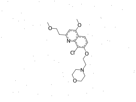 COCCc1cc(OC)c2ccc(OCCN3CCOCC3)c(Cl)c2n1